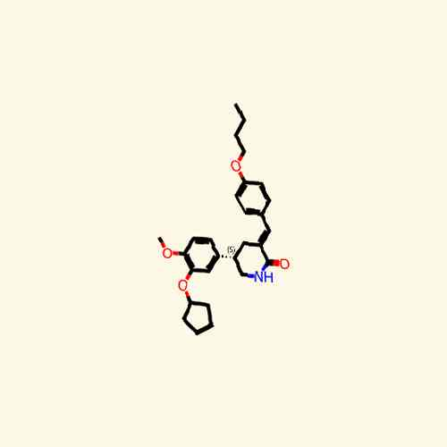 CCCCOc1ccc(C=C2C[C@@H](c3ccc(OC)c(OC4CCCC4)c3)CNC2=O)cc1